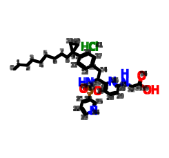 CCCCCCCCCC1(c2ccc(CC(NS(=O)(=O)c3cccnc3)c3cccc(NCC(=O)O)n3)cc2)CC1.Cl